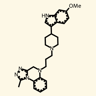 COc1ccc2c(C3CCN(CCCN4Cc5nnc(C)n5-c5ccccc54)CC3)c[nH]c2c1